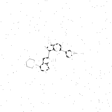 Cn1cc(-c2ccc3[nH]nc(-c4cc5c(N6CCCCC6)cncc5[nH]4)c3n2)cn1